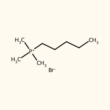 CCCCC[P+](C)(C)C.[Br-]